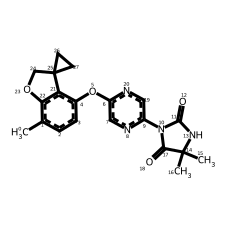 Cc1ccc(Oc2cnc(N3C(=O)NC(C)(C)C3=O)cn2)c2c1OCC21CC1